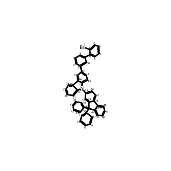 Brc1ccccc1-c1cccc(-c2ccc3c(c2)c2ccccc2n3-c2ccc3c(c2)C(c2ccccc2)(c2ccccc2)c2ccccc2-3)c1